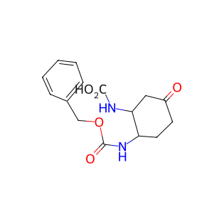 O=C1CCC(NC(=O)OCc2ccccc2)C(NC(=O)O)C1